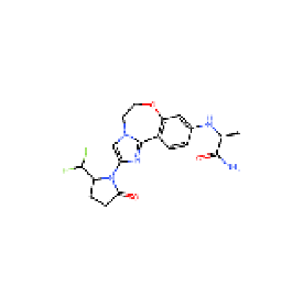 C[C@H](Nc1ccc2c(c1)OCCn1cc(N3C(=O)CCC3C(F)F)nc1-2)C(N)=O